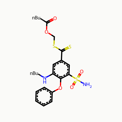 CCCCNc1cc(C(=S)SCOC(=O)CCCC)cc(S(N)(=O)=O)c1Oc1ccccc1